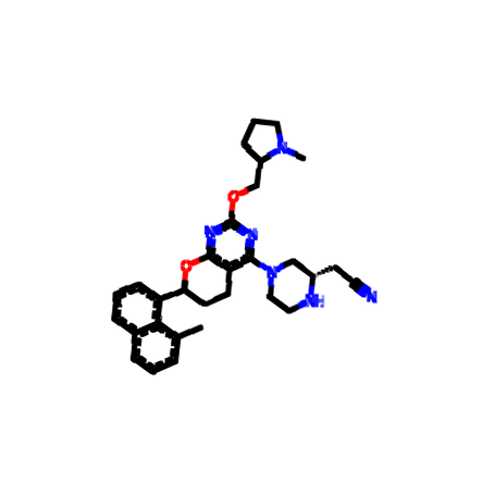 Cc1cccc2cccc(C3CCc4c(nc(OCC5CCCN5C)nc4N4CCN[C@@H](CC#N)C4)O3)c12